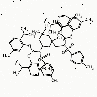 Cc1ccc(S(=O)(=O)N(CC2(C)CC(N(P(Oc3cc(C)ccc3C(C)C)Oc3cc(C)ccc3C(C)C)S(=O)(=O)c3ccc(C)cc3)CC(C)(C)C2)P(Oc2cc(C)ccc2C(C)C)Oc2cc(C)ccc2C(C)C)cc1